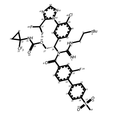 CC(C)(C)CCNC(=N)N(C(=O)c1ccc(-c2ccc(S(C)(=O)=O)cc2)c(F)c1)[C@H](COC(=O)NC1(C(F)(F)F)CC1)c1ccc(Cl)c(-n2ncnc2C(F)F)c1